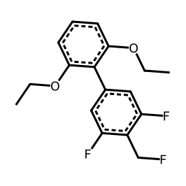 CCOc1cccc(OCC)c1-c1cc(F)c(CF)c(F)c1